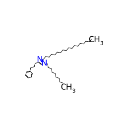 CCCCCCCCCCCCCCCCCc1nc(CCCc2ccccc2)cn1CCCCCCCCCC